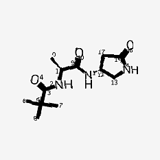 C[C@H](NC(=O)C(C)(C)C)C(=O)N[C@H]1CNC(=O)C1